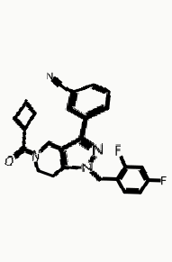 N#Cc1cccc(-c2nn(Cc3ccc(F)cc3F)c3c2CN(C(=O)C2CCC2)CC3)c1